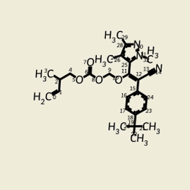 C=CC(C)COC(=O)OCO/C(=C(/C#N)c1ccc(C(C)(C)C)cc1)c1c(C)c(C)nn1C